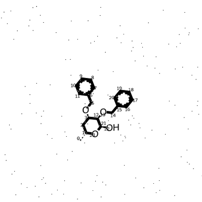 C[C@@H]1C[C@H](OCc2ccccc2)[C@@H](OCc2ccccc2)[C@@H](O)O1